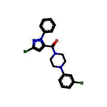 O=C(c1cc(Br)nn1-c1ccccc1)N1CCN(c2cccc(Cl)c2)CC1